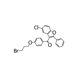 O=C(c1ccc(OCCCBr)cc1)c1c(-c2ccccc2)oc2ccc(Cl)cc12